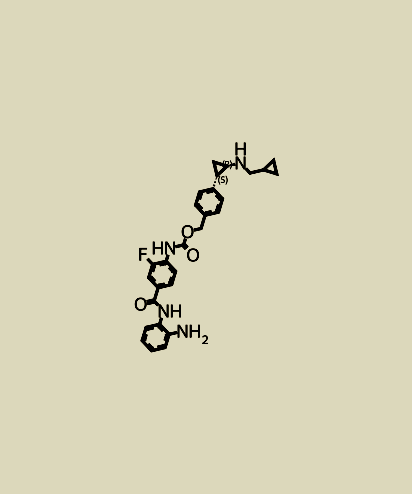 Nc1ccccc1NC(=O)c1ccc(NC(=O)OCc2ccc([C@@H]3C[C@H]3NCC3CC3)cc2)c(F)c1